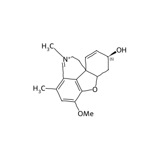 COc1cc(C)c2c3c1OC1C[C@H](O)C=CC31CC[N+](C)=C2